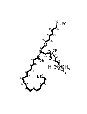 CC/C=C\C/C=C\C/C=C\C/C=C\CCCCCCC(=O)O[C@H](COCCCCCCCCCCCCCCCC)COP(=O)([O-])OCC[N+](C)(C)C